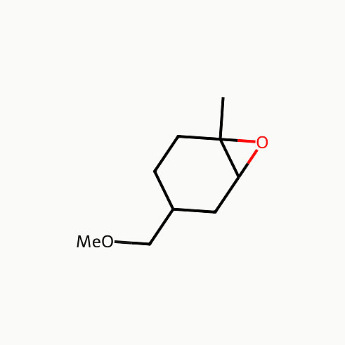 COCC1CCC2(C)OC2C1